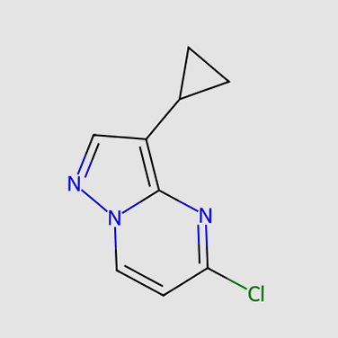 Clc1ccn2ncc(C3CC3)c2n1